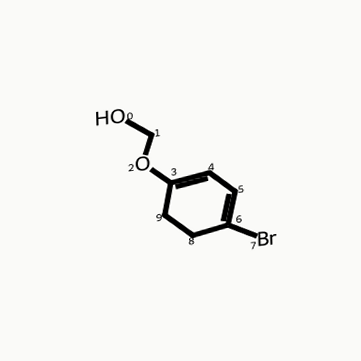 OCOC1=CC=C(Br)CC1